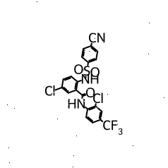 N#Cc1ccc(S(=O)(=O)Nc2ccc(Cl)cc2C(=O)Nc2ccc(C(F)(F)F)cc2Cl)cc1